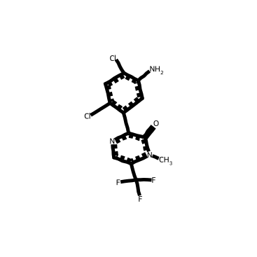 Cn1c(C(F)(F)F)cnc(-c2cc(N)c(Cl)cc2Cl)c1=O